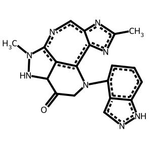 Cc1nc2cnc3c4c(c-2n1)N(c1cccc2[nH]ncc12)CC(=O)C4NN3C